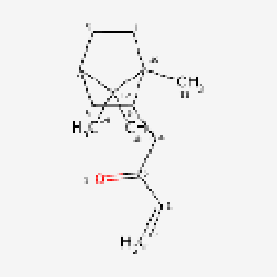 C=CC(=O)CC1CC2CCC1(C)C2(C)C